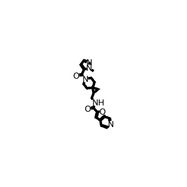 Cn1nccc1C(=O)N1CCC2(CC1)CC2CNC(=O)c1cc2ccncc2o1